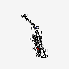 CC(C)[C@H](NC(=O)C(CCCCNC(=O)COC1CCCCC/C(NCCOCCOCCOCCOCCOCCP(=O)(O)O)=C\1N=N)NC(=O)CCOCCOCCOCCOCCNC(=O)CCC(=O)N1Cc2ccccc2C#Cc2ccccc21)C(=O)N[C@@H](C)C(=O)N[C@@H](CO)C(=O)Nc1ccc2c(c1)[C@@]1(C)CCC[C@](C)(C(=O)NC(=O)[C@@]3(C)CCC[C@]4(C)c5cc(O)ccc5CC[C@@H]34)[C@@H]1CC2